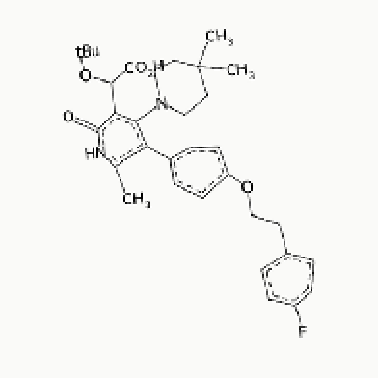 Cc1[nH]c(=O)c(C(OC(C)(C)C)C(=O)O)c(N2CCC(C)(C)CC2)c1-c1ccc(OCCc2ccc(F)cc2)cc1